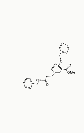 COC(=O)c1cc(CCC(=O)NCc2ccccc2)ccc1OCc1ccccc1